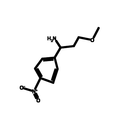 COCCC(N)c1ccc([N+](=O)[O-])cc1